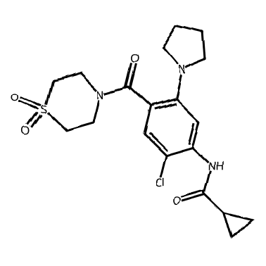 O=C(Nc1cc(N2CCCC2)c(C(=O)N2CCS(=O)(=O)CC2)cc1Cl)C1CC1